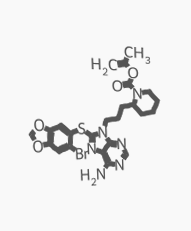 C=C(C)OC(=O)N1CCCCC1CCCn1c(Sc2cc3c(cc2Br)OCO3)nc2c(N)ncnc21